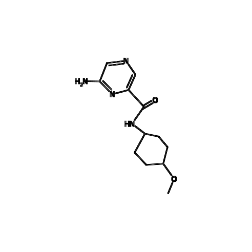 COC1CCC(NC(=O)c2cncc(N)n2)CC1